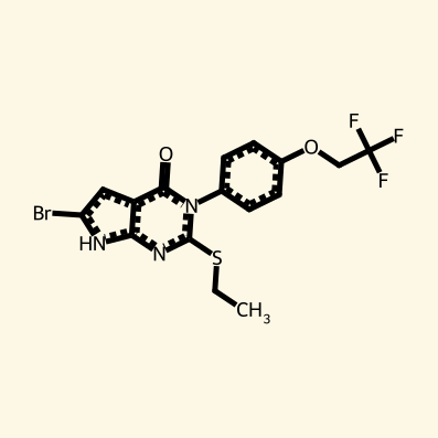 CCSc1nc2[nH]c(Br)cc2c(=O)n1-c1ccc(OCC(F)(F)F)cc1